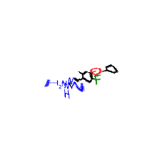 Cc1cc(OCc2ccccc2)c(F)cc1-c1cnc(NN)cn1